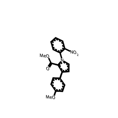 COC(=O)c1c(-c2ccc(OC)cc2)ccn1-c1ccccc1[N+](=O)[O-]